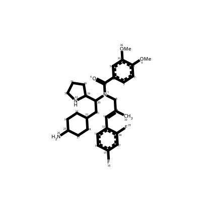 COc1ccc(C(=O)N(CC(C)=Cc2ccc(F)cc2F)C(CC2CCC(N)CC2)C2CCCN2)cc1OC